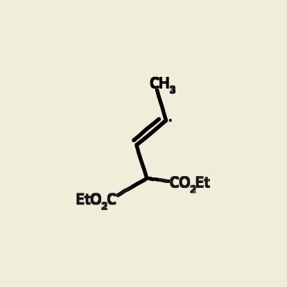 C[C]=CC(C(=O)OCC)C(=O)OCC